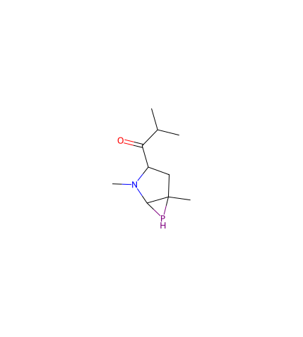 CC(C)C(=O)C1CC2(C)PC2N1C